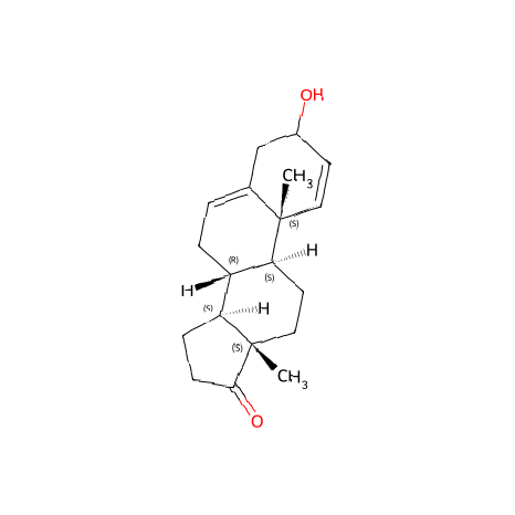 C[C@]12C=CC(O)CC1=CC[C@@H]1[C@@H]2CC[C@]2(C)C(=O)CC[C@@H]12